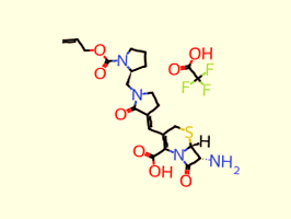 C=CCOC(=O)N1CCC[C@H]1CN1CC/C(=C\C2=C(C(=O)O)N3C(=O)[C@@H](N)[C@H]3SC2)C1=O.O=C(O)C(F)(F)F